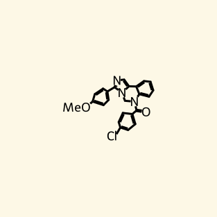 COc1ccc(-c2ncc3n2CN(C(=O)c2ccc(Cl)cc2)c2ccccc2-3)cc1